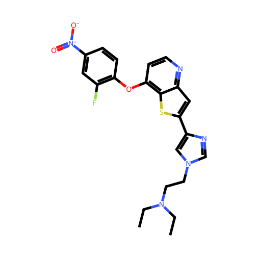 CCN(CC)CCn1cnc(-c2cc3nccc(Oc4ccc([N+](=O)[O-])cc4F)c3s2)c1